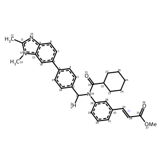 [2H]C(c1ccc(-c2ccc3nc(C)n(C)c3c2)cc1)N(C(=O)C1CCCCC1)c1cccc(/C=C/C(=O)OC)c1